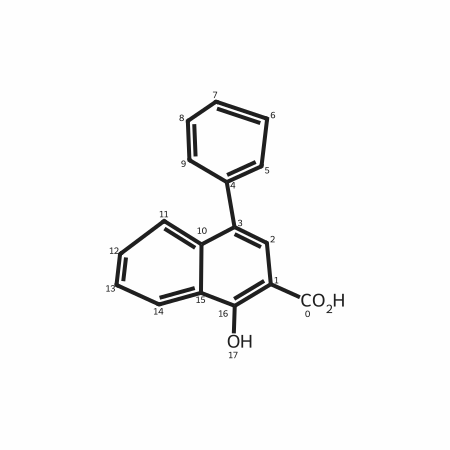 O=C(O)c1cc(-c2ccccc2)c2ccccc2c1O